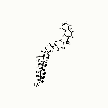 CC(C(C)(C)OC(=O)N1CCC(C(=O)N2CCc3ccccc3C2)CC1)C(F)(F)C(F)(F)C(F)(F)C(F)(F)C(F)(F)C(F)(F)C(F)(F)C(F)(F)F